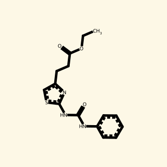 CCOC(=O)CCc1csc(NC(=O)Nc2ccccc2)n1